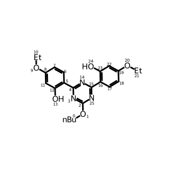 CCCCOc1nc(-c2ccc(OCC)cc2O)nc(-c2ccc(OCC)cc2O)n1